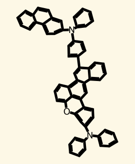 c1ccc(N(c2ccccc2)c2ccc3c(c2)Oc2cccc4c2c-3cc2c3ccccc3c(-c3ccc(N(c5ccccc5)c5ccc6c(ccc7ccccc76)c5)cc3)cc42)cc1